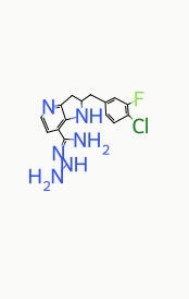 NN/N=C(\N)c1ccnc2c1NC(Cc1ccc(Cl)c(F)c1)C2